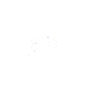 O=S(=O)(Nc1cc(F)c(Br)cc1F)c1cnn2cc(Br)ccc12